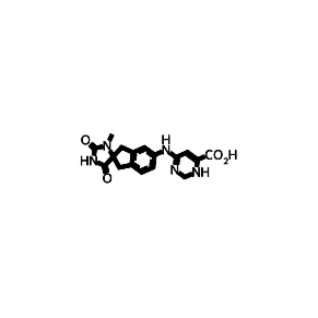 CN1C(=O)NC(=O)C12Cc1ccc(NC3=NCNC(C(=O)O)=C3)cc1C2